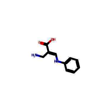 NC/C(=C\Nc1ccccc1)C(=O)O